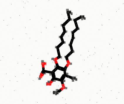 CCCCCCCCOc1c(C)c(OC)c(O)c(C(=O)O)c1OCCCCCCCC